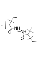 CCC(C)(C)C(C(=O)NCNC(=O)C(C(C)(C)C)C(C)(C)CC)C(C)(C)C